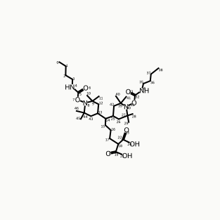 CCCCNC(=O)ON1C(C)(C)CC(C(CCCC(C(=O)O)C(=O)O)C2CC(C)(C)N(OC(=O)NCCCC)C(C)(C)C2)CC1(C)C